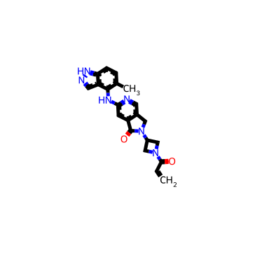 C=CC(=O)N1CC(N2Cc3cnc(Nc4c(C)ccc5[nH]ncc45)cc3C2=O)C1